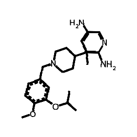 COc1ccc(CN2CCC(C3(C)C=C(N)C=NC3N)CC2)cc1OC(C)C